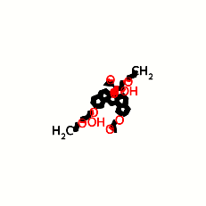 C=CCOCC(O)COc1ccc2ccc(OCC(O)COCC=C)c(Cc3c(OC[C@H]4CO4)ccc4ccc(OCC5CO5)cc34)c2c1